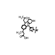 CC(C)CN(c1ccc(C(C)CC(=O)O)cc1Nc1nc(C(F)(F)F)ns1)C1CCNCC1